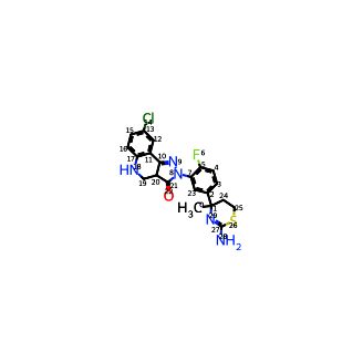 CC1(c2ccc(F)c(N3N=C4c5cc(Cl)ccc5NCC4C3=O)c2)CCSC(N)=N1